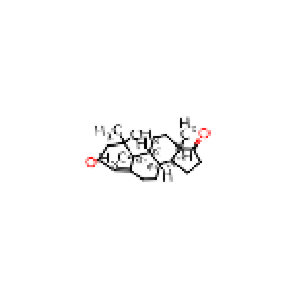 CC1(C)CC(=O)C=C2CC[C@@H]3[C@H](CC[C@]4(C)C(=O)CC[C@@H]34)[C@]21C